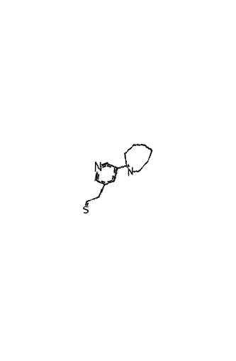 S=CCc1cncc(/C2=N/CCCCCC2)c1